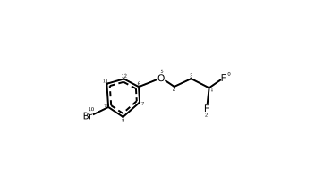 FC(F)CCOc1ccc(Br)cc1